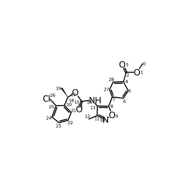 COC(=O)c1ccc(-c2onc(C)c2NC(=O)O[C@H](C)c2ccccc2Cl)cc1